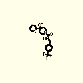 COC1(c2ccccn2)CCN(C(=O)NCc2ccc(C(F)(F)F)cc2)CC1